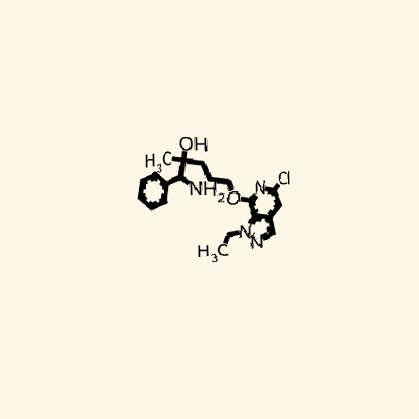 CCn1ncc2cc(Cl)nc(OCCCC(C)(O)C(N)c3ccccc3)c21